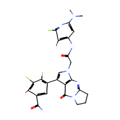 CN(C)c1cc(NC(=O)Cn2cc(-c3cc(C(N)=O)c(O)c(F)c3F)c3c(=O)n4c(nc32)CCC4)c(Cl)c(F)n1